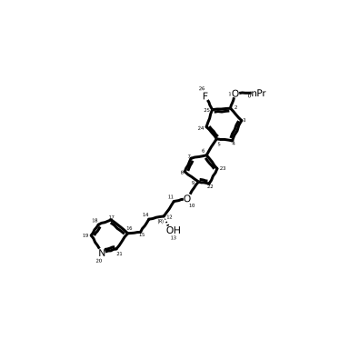 CCCOc1ccc(-c2ccc(OC[C@H](O)CCc3cccnc3)cc2)cc1F